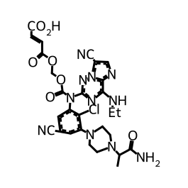 CCNc1nc(N(C(=O)OCOC(=O)C=CC(=O)O)c2cc(C#N)cc(N3CCN(C(C)C(N)=O)CC3)c2Cl)nn2c(C#N)cnc12